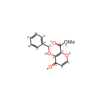 COC(=O)c1occc(=O)c1OCc1ccccc1